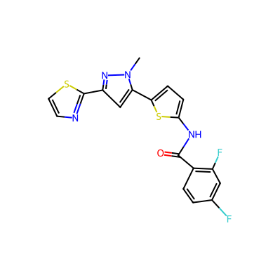 Cn1nc(-c2nccs2)cc1-c1ccc(NC(=O)c2ccc(F)cc2F)s1